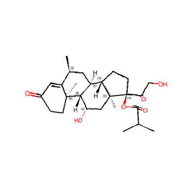 CC(C)C(=O)O[C@]1(C(=O)CO)CC[C@H]2[C@@H]3C[C@H](C)C4=CC(=O)CC[C@]4(C)[C@H]3[C@@H](O)C[C@@]21C